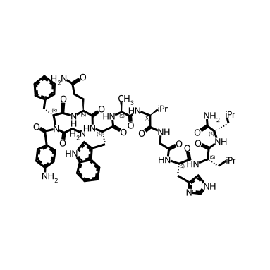 CC(C)C[C@H](NC(=O)[C@H](CC(C)C)NC(=O)[C@H](Cc1c[nH]cn1)NC(=O)CNC(=O)[C@@H](NC(=O)[C@H](C)NC(=O)[C@H](Cc1c[nH]c2ccccc12)NC(=O)[C@H](CCC(N)=O)NC(=O)[C@@H](Cc1ccccc1)N(C(=O)CN)C(=O)c1ccc(N)cc1)C(C)C)C(N)=O